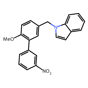 COc1ccc(Cn2ccc3ccccc32)cc1-c1cccc([N+](=O)[O-])c1